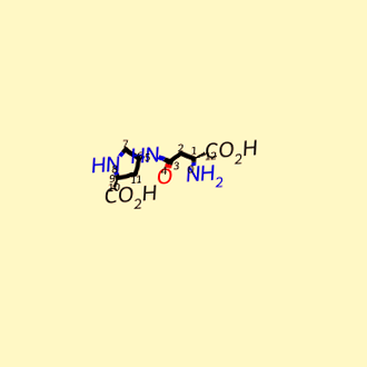 N[C@@H](CC(=O)N[C@H]1CN[C@H](C(=O)O)C1)C(=O)O